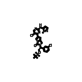 Cn1nccc1Nc1ncc(Cl)c(-c2cc3n(c2)C(=O)N([C@H](CO[Si](C)(C)C(C)(C)C)c2cccc(Cl)c2)C3)n1